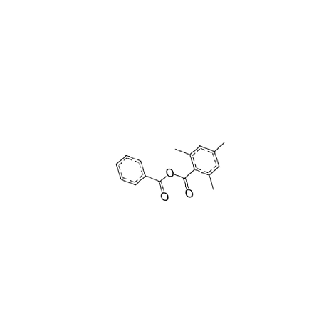 Cc1cc(C)c(C(=O)OC(=O)c2ccccc2)c(C)c1